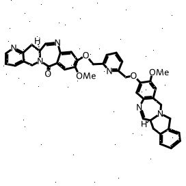 COc1cc2c(cc1OCc1cccc(COc3cc4c(cc3OC)C(=O)N3Cc5cccnc5C[C@H]3C=N4)n1)N=C[C@@H]1Cc3ccccc3CN1C2